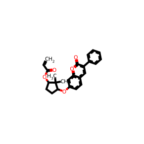 C=CC(=O)OC1CCC(Oc2ccc3cc(-c4ccccc4)c(=O)oc3c2)C1(C)C